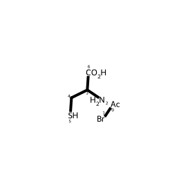 CC(=O)Br.NC(CS)C(=O)O